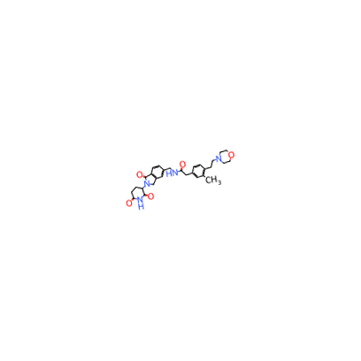 Cc1cc(CC(=O)NCc2ccc3c(c2)CN(C2CCC(=O)NC2=O)C3=O)ccc1CCN1CCOCC1